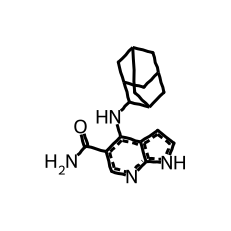 NC(=O)c1cnc2[nH]ccc2c1NC1C2CC3CC(C2)CC1C3